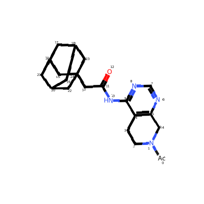 CC(=O)N1CCc2c(ncnc2NC(=O)CC23CC4CC(CC(C4)C2)C3)C1